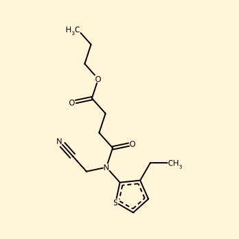 CCCOC(=O)CCC(=O)N(CC#N)c1sccc1CC